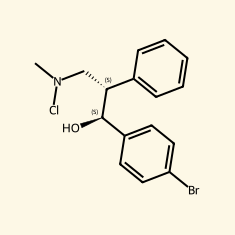 CN(Cl)C[C@H](c1ccccc1)[C@H](O)c1ccc(Br)cc1